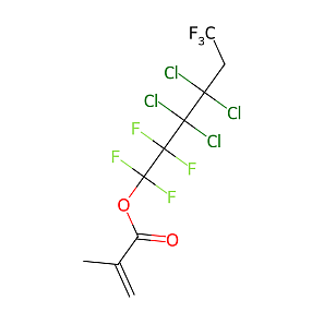 C=C(C)C(=O)OC(F)(F)C(F)(F)C(Cl)(Cl)C(Cl)(Cl)CC(F)(F)F